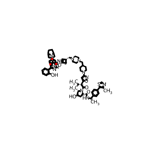 Cc1ncsc1-c1ccc([C@H](C)NC(=O)[C@@H]2C[C@@H](O)CN2C(=O)[C@@H](c2cc(N3CCC(CN4CCN(C[C@H]5C[C@H](Oc6cc(N7C8CCC7CN(c7cc(-c9ccccc9O)nnc7N)C8)ccn6)C5)CC4)CC3)no2)C(C)C)cc1